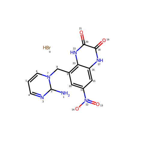 Br.NC1N=CC=CN1Cc1cc([N+](=O)[O-])cc2[nH]c(=O)c(=O)[nH]c12